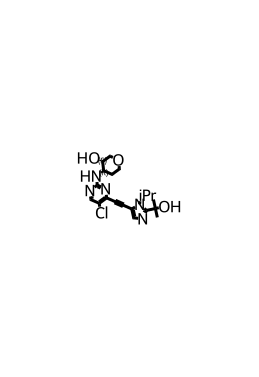 CC(C)n1c(C#Cc2nc(N[C@@H]3CCOC[C@H]3O)ncc2Cl)cnc1C(C)(C)O